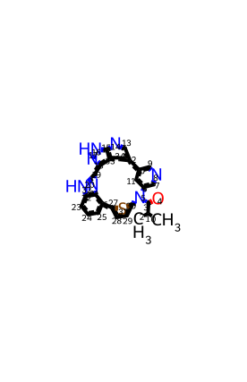 CC(C)C(=O)n1c2cncc(c2)c2cnc3[nH]nc(c4nc5c(cccc5c5ccc1s5)[nH]4)c3c2